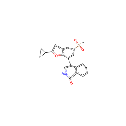 CS(=O)(=O)c1cc(-c2c[nH]c(=O)c3ccccc23)c2oc(C3CC3)cc2c1